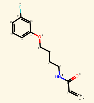 C=CC(=O)NCCCCOc1cccc(F)c1